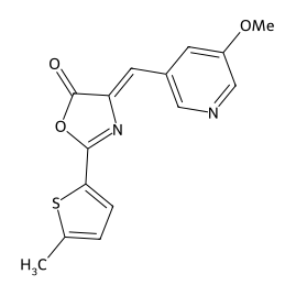 COc1cncc(/C=C2\N=C(c3ccc(C)s3)OC2=O)c1